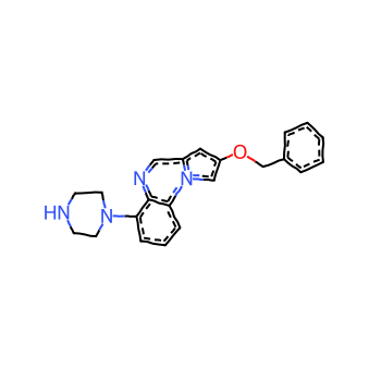 c1ccc(COc2cc3cnc4c(N5CCNCC5)cccc4n3c2)cc1